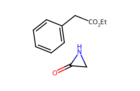 CCOC(=O)Cc1ccccc1.O=C1CN1